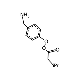 CC(C)CC(=O)OOc1ccc(CN)cc1